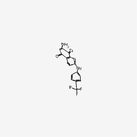 NC1=CC(=O)c2ccc(Nc3ccc(C(F)(F)F)cc3)nc2C1=O